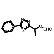 CC(OC=O)c1nnc(-c2ccccc2)s1